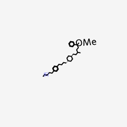 C/C=C/CCc1ccc(CCCC[C@H]2CC[C@H](CCC(C)CCC(OC)c3ccccc3)CC2)cc1